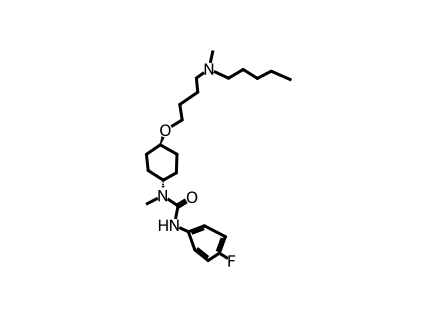 CCCCCN(C)CCCCO[C@H]1CC[C@H](N(C)C(=O)Nc2ccc(F)cc2)CC1